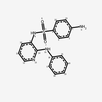 Nc1ccc(S(=O)(=O)Nc2cccnc2Nc2ccccc2)cc1